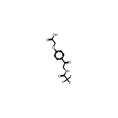 O=C(O)COc1ccc(C(=O)CNC(=O)C(F)(F)F)cc1